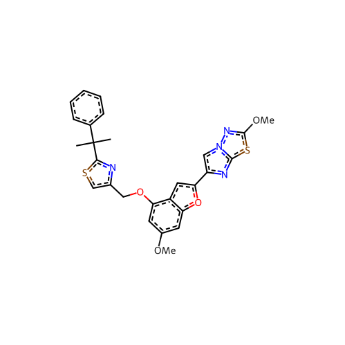 COc1cc(OCc2csc(C(C)(C)c3ccccc3)n2)c2cc(-c3cn4nc(OC)sc4n3)oc2c1